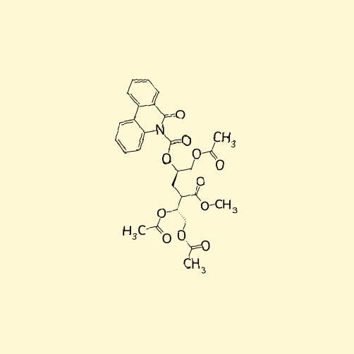 COC(=O)C(C[C@H](COC(C)=O)OC(=O)n1c(=O)c2ccccc2c2ccccc21)[C@H](COC(C)=O)OC(C)=O